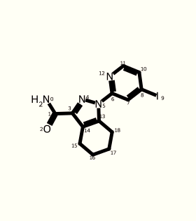 NC(=O)c1nn(-c2cc(I)ccn2)c2c1CCCC2